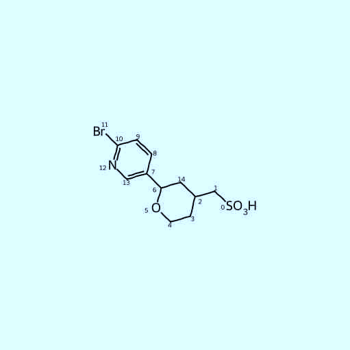 O=S(=O)(O)CC1CCOC(c2ccc(Br)nc2)C1